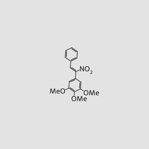 COc1cc(C(=Cc2ccccc2)[N+](=O)[O-])cc(OC)c1OC